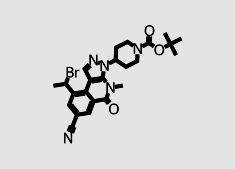 CC(Br)c1cc(C#N)cc2c(=O)n(C)c3c(cnn3C3CCN(C(=O)OC(C)(C)C)CC3)c12